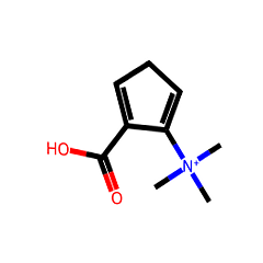 C[N+](C)(C)C1=CCC=C1C(=O)O